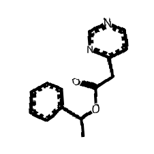 CC(OC(=O)Cc1ccncn1)c1ccccc1